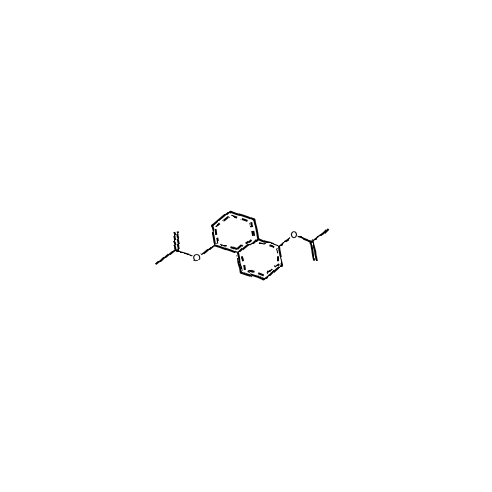 C=C(C)Oc1cccc2c(OC(=C)C)cccc12